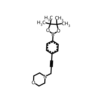 CC1(C)OB(c2ccc(C#CCN3CCOCC3)cc2)OC1(C)C